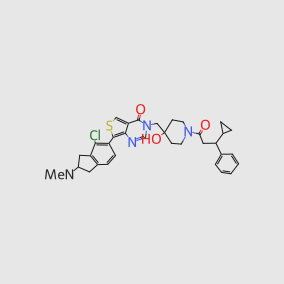 CNC1Cc2ccc(-c3scc4c(=O)n(CC5(O)CCN(C(=O)CC(c6ccccc6)C6CC6)CC5)cnc34)c(Cl)c2C1